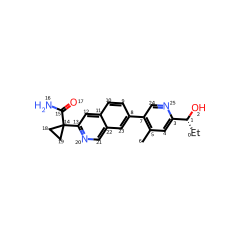 CC[C@@H](O)c1cc(C)c(-c2ccc3cc(C4(C(N)=O)CC4)ncc3c2)cn1